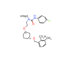 CCCCCCCN(CCO[C@H]1CCC[C@@H](OCc2cccc(C)c2C(=O)O)C1)C(=O)Nc1ccc(F)cc1